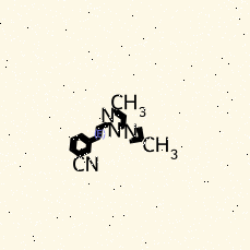 Cc1cc(N2CC(C)C2)nc(/C=C/c2cccc(C#N)c2)n1